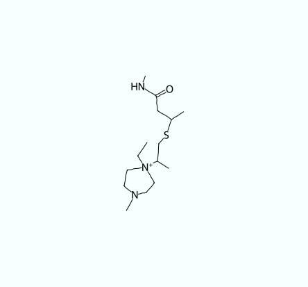 CC[N+]1(C(C)CSC(C)CC(=O)NC)CCN(C)CC1